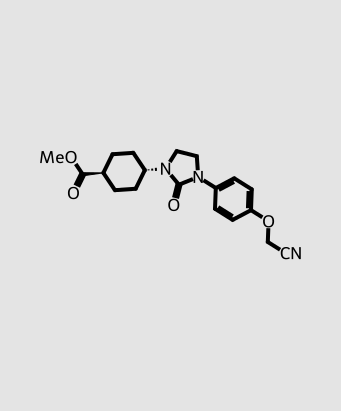 COC(=O)[C@H]1CC[C@H](N2CCN(c3ccc(OCC#N)cc3)C2=O)CC1